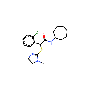 CN1CCN=C1SC(C(=O)NC1CCCCCC1)c1ccccc1Cl